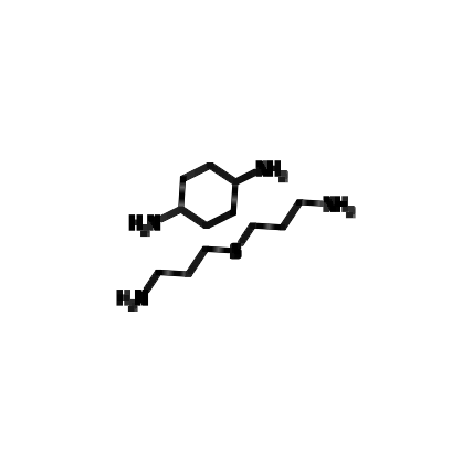 NC1CCC(N)CC1.NCCCSCCCN